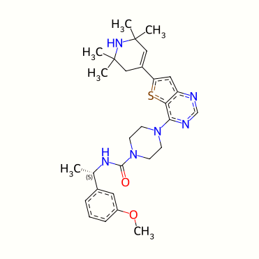 COc1cccc([C@H](C)NC(=O)N2CCN(c3ncnc4cc(C5=CC(C)(C)NC(C)(C)C5)sc34)CC2)c1